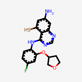 Nc1cc(S)c2c(Nc3ccc(F)cc3OC3CCOC3)ncnc2c1